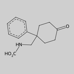 O=C1CCC(CNC(=O)O)(c2ccccc2)CC1